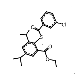 CCOC(=O)c1cc(C(C)C)cc(C(C)C)c1SC(=O)c1cccc(Cl)c1